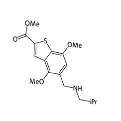 COC(=O)c1cc2c(OC)c(CNCC(C)C)cc(OC)c2s1